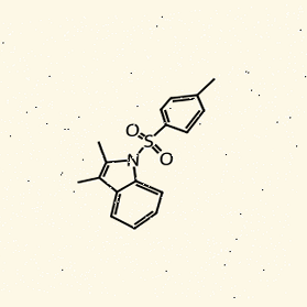 Cc1ccc(S(=O)(=O)n2c(C)c(C)c3ccccc32)cc1